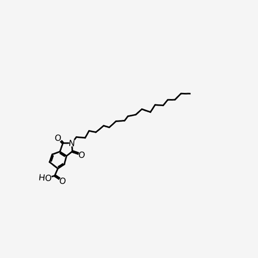 CCCCCCCCCCCCCCCCCCN1C(=O)c2ccc(C(=O)O)cc2C1=O